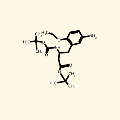 CCOc1ccc(N)cc1CC(CC(=O)OC(C)(C)C)NC(=O)OC(C)(C)C